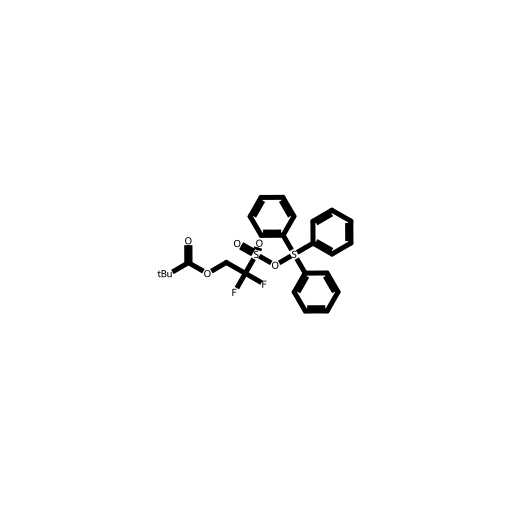 CC(C)(C)C(=O)OCC(F)(F)S(=O)(=O)OS(c1ccccc1)(c1ccccc1)c1ccccc1